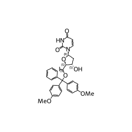 COc1ccc(C(O[C@@H](I)[C@H]2O[C@@H](n3ccc(=O)[nH]c3=O)C[C@@H]2O)(c2ccccc2)c2ccc(OC)cc2)cc1